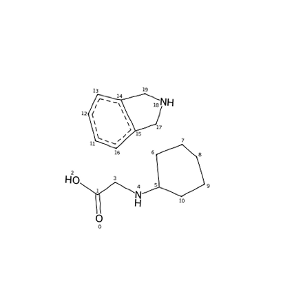 O=C(O)CNC1CCCCC1.c1ccc2c(c1)CNC2